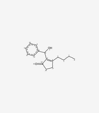 CCCCC1=C(C(O)c2ccccc2)C(=O)CC1